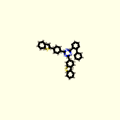 c1ccc(-c2ccccc2-c2nc(-c3ccc(-c4cc5ccccc5s4)cc3)nc(-c3ccc4c(c3)sc3ccccc34)n2)cc1